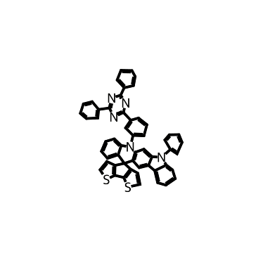 c1ccc(-c2nc(-c3ccccc3)nc(-c3cccc(N4c5ccccc5C5(c6cc7c8ccccc8n(-c8ccccc8)c7cc64)c4ccsc4-c4sccc45)c3)n2)cc1